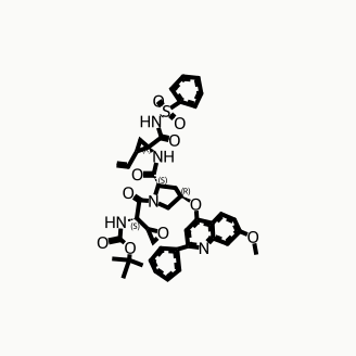 C=CC1C[C@]1(NC(=O)[C@@H]1C[C@@H](Oc2cc(-c3ccccc3)nc3cc(OC)ccc23)CN1C(=O)[C@@H](NC(=O)OC(C)(C)C)C1CO1)C(=O)NS(=O)(=O)c1ccccc1